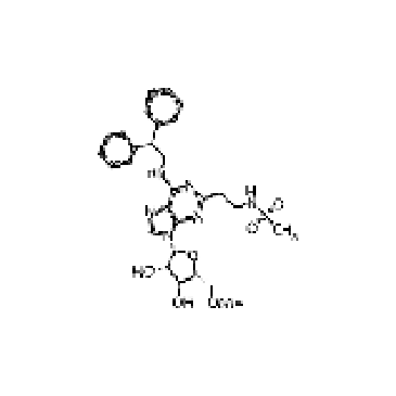 COC[C@H]1O[C@@H](n2cnc3c(NCC(c4ccccc4)c4ccccc4)nc(CCNS(C)(=O)=O)nc32)[C@@H](O)[C@@H]1O